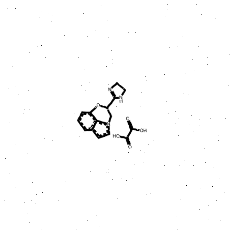 O=C(O)C(=O)O.c1cc2c3c(c1)ccn3CC(C1=NCCN1)O2